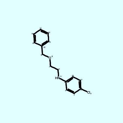 Clc1ccc(NCCOCc2ccccc2)cc1